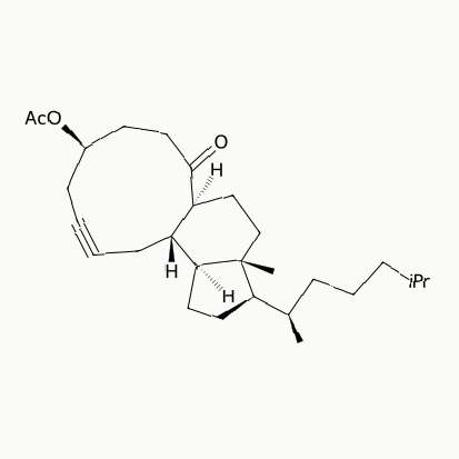 CC(=O)O[C@@H]1CC#CC[C@@H]2[C@H](CC[C@]3(C)[C@@H]([C@H](C)CCCC(C)C)CC[C@@H]23)C(=O)CC1